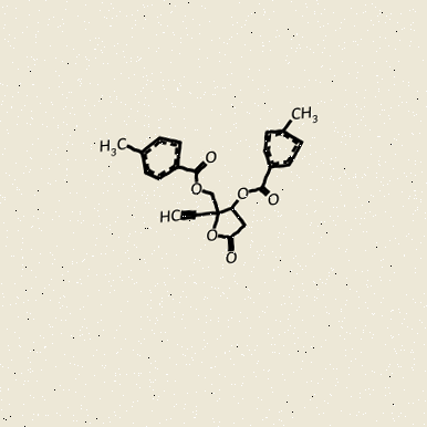 C#CC1(COC(=O)c2ccc(C)cc2)OC(=O)CC1OC(=O)c1ccc(C)cc1